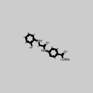 COC(=O)c1ccc(NC(=O)CNc2ccccc2F)cc1